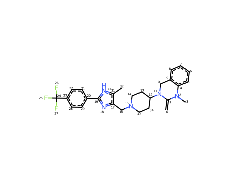 C=C1N(C)c2ccccc2CN1C1CCN(Cc2nc(-c3ccc(C(F)(F)F)cc3)[nH]c2C)CC1